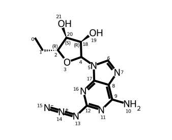 CC[C@H]1OC(n2cnc3c(N)nc(N=[N+]=[N-])nc32)[C@H](O)[C@@H]1O